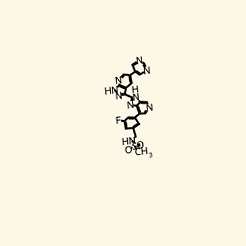 CS(=O)(=O)NCc1cc(F)cc(-c2cncc3[nH]c(-c4n[nH]c5ncc(-c6cncnc6)cc45)nc23)c1